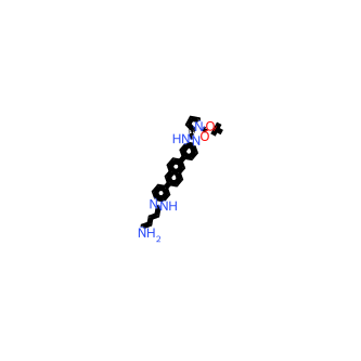 CC(C)(C)OC(=O)N1CCC[C@H]1c1nc2ccc(-c3ccc4cc(-c5ccc6nc(CCCCN)[nH]c6c5)ccc4c3)cc2[nH]1